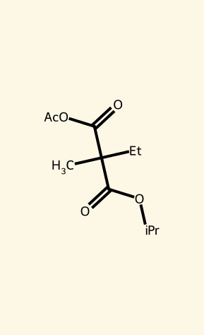 CCC(C)(C(=O)OC(C)=O)C(=O)OC(C)C